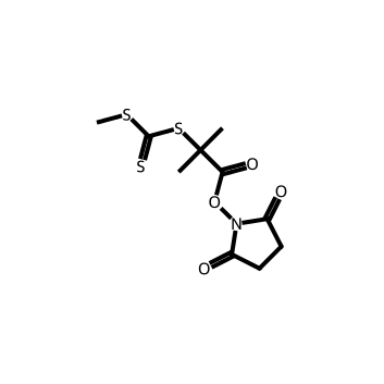 CSC(=S)SC(C)(C)C(=O)ON1C(=O)CCC1=O